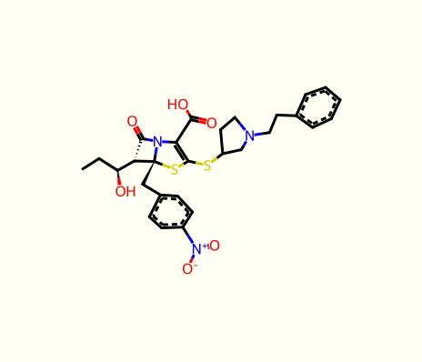 CC[C@H](O)[C@@H]1C(=O)N2C(C(=O)O)=C(SC3CCN(CCc4ccccc4)C3)S[C@]12Cc1ccc([N+](=O)[O-])cc1